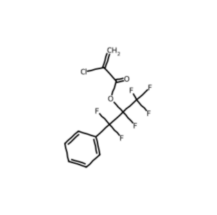 C=C(Cl)C(=O)OC(F)(C(F)(F)F)C(F)(F)c1ccccc1